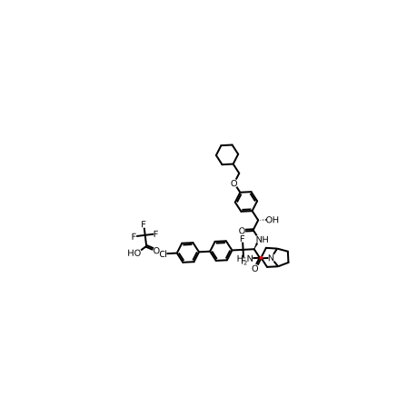 NC1CC2CCC(C1)N2C(=O)[C@H](NC(=O)[C@@H](O)c1ccc(OCC2CCCCC2)cc1)C(F)(F)c1ccc(-c2ccc(Cl)cc2)cc1.O=C(O)C(F)(F)F